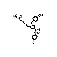 COC(=O)CCCC=C[C@@H]1C[C@@H](NS(=O)(=O)c2ccc(Cl)cc2)CN1Cc1ccc(O)cc1